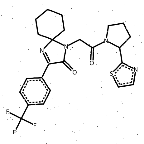 O=C(CN1C(=O)C(c2ccc(C(F)(F)F)cc2)=NC12CCCCC2)N1CCCC1c1nccs1